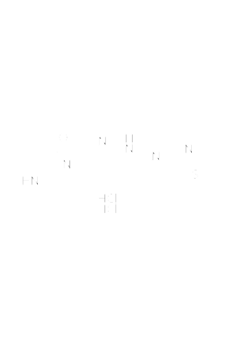 Cl.Cl.O=C1CCNCCN1c1ccc(Nc2cccc(-c3nccs3)n2)nc1